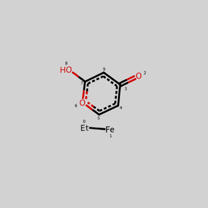 C[CH2][Fe].O=c1ccoc(O)c1